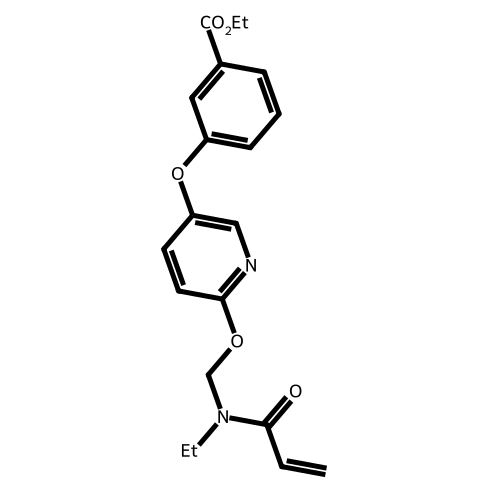 C=CC(=O)N(CC)COc1ccc(Oc2cccc(C(=O)OCC)c2)cn1